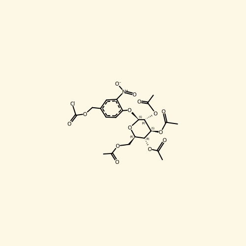 CC(=O)OC[C@H]1O[C@@H](Oc2ccc(COC(=O)Cl)cc2[N+](=O)[O-])[C@H](OC(C)=O)[C@@H](OC(C)=O)[C@@H]1OC(C)=O